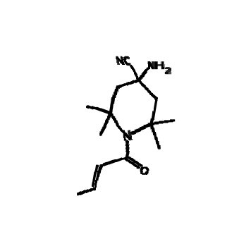 CC=CC(=O)N1C(C)(C)CC(N)(C#N)CC1(C)C